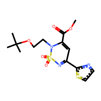 COC(=O)C1=CC(c2nccs2)=NS(=O)(=O)N1CCOC(C)(C)C